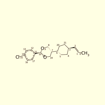 CC=C[C@H]1CC[C@H]([C@H]2CO[C@H](c3ccc(Cl)cc3)OC2)CC1